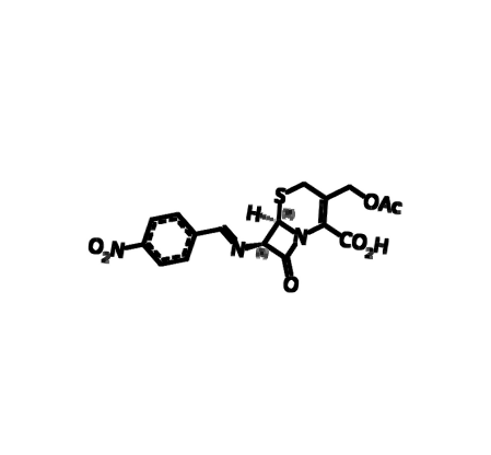 CC(=O)OCC1=C(C(=O)O)N2C(=O)[C@@H](N=Cc3ccc([N+](=O)[O-])cc3)[C@H]2SC1